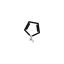 C1=C[SH2]C=C1